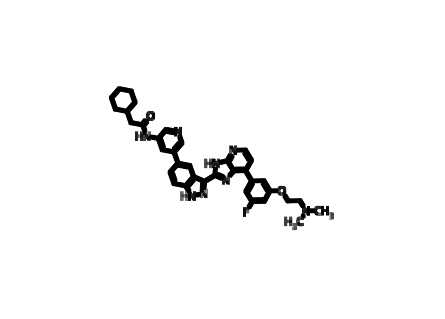 CN(C)CCOc1cc(F)cc(-c2ccnc3[nH]c(-c4n[nH]c5ccc(-c6cncc(NC(=O)CC7CCCCC7)c6)cc45)nc23)c1